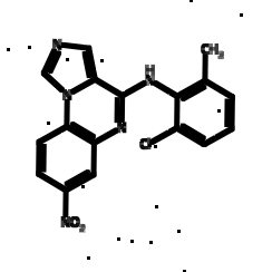 Cc1cccc(Cl)c1Nc1nc2cc([N+](=O)[O-])ccc2n2cncc12